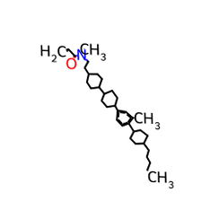 C=CC(=O)N(C)CCC1CCC(C2CCC(c3ccc(C4CCC(CCCCC)CC4)c(C)c3)CC2)CC1